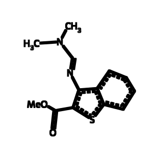 COC(=O)c1sc2ccccc2c1N=CN(C)C